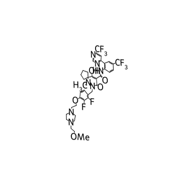 COCCN1CCN(CCOc2ccc(CN3C(=O)C(C(=O)Nc4ccc(C(F)(F)F)cc4-c4cc(C(F)(F)F)ncn4)=C(O)C4(CCCC4)N3C)c(F)c2F)CC1